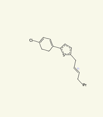 CC(C)C/C=C/Cc1ccc(C2=CC=C(Cl)CC2)s1